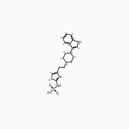 CCS(=O)(=O)Nc1nc(CCN2CCC(c3c[nH]c4ccccc34)CC2)cs1